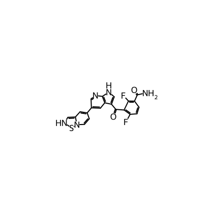 NC(=O)c1ccc(F)c(C(=O)c2c[nH]c3ncc(C4=CC5=CNSN5C=C4)cc23)c1F